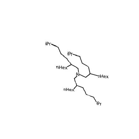 CCCCCCC(CCCC(C)C)[CH2][Al]([CH2]C(CCCCCC)CCCC(C)C)[CH2]C(CCCCCC)CCCC(C)C